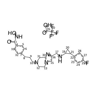 O=C(NO)c1ccc(CCCN2CCn3cc(CNC4CC4c4ccc(F)cc4)nc3C2)cc1.O=C(O)C(F)(F)F